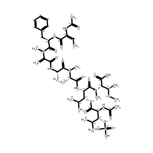 C=C(C(=O)N[C@@H](C)C(=O)N(C)[C@@H](C)C(=O)N[C@H](C(=O)N(C)[C@H](C(=O)O)[C@@H](C)OC)[C@H](OC(=O)[C@@H](NC(C)=O)[C@H](OP(=O)(O)O)C(C)C)C(C)C)N(C)C(=O)[C@@H](Cc1ccccc1)OC(=O)/C(=C\C)NC(C)=O